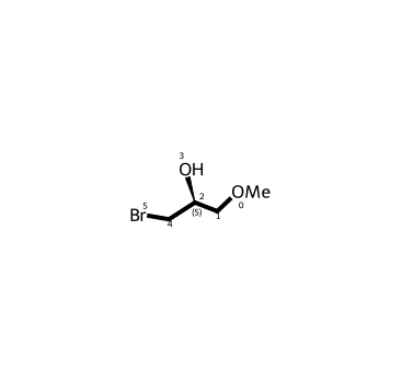 COC[C@H](O)CBr